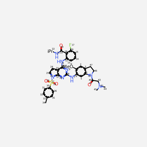 COc1cc2c(cc1Nc1nc(Nc3cccc(F)c3C(=O)NC(C)C)c3ccn(S(=O)(=O)c4ccc(C)cc4)c3n1)N(C(=O)CN(C)C)CC2